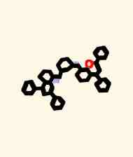 C1=C(/C=C2\CCCc3c2cc(-c2ccccc2)cc3-c2ccccc2)CCC/C1=C/C1=C2OC(c3ccccc3)=CC(c3ccccc3)=C2CCC1